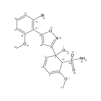 COC1=CC=CC(OC)(c2cc(-c3c(Br)cccc3OC)on2)C1S(N)(=O)=O